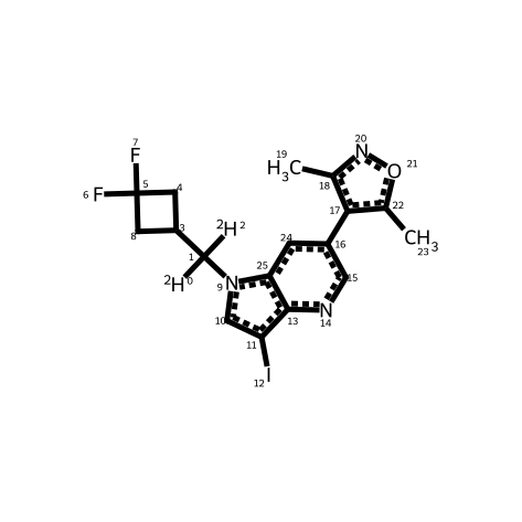 [2H]C([2H])(C1CC(F)(F)C1)n1cc(I)c2ncc(-c3c(C)noc3C)cc21